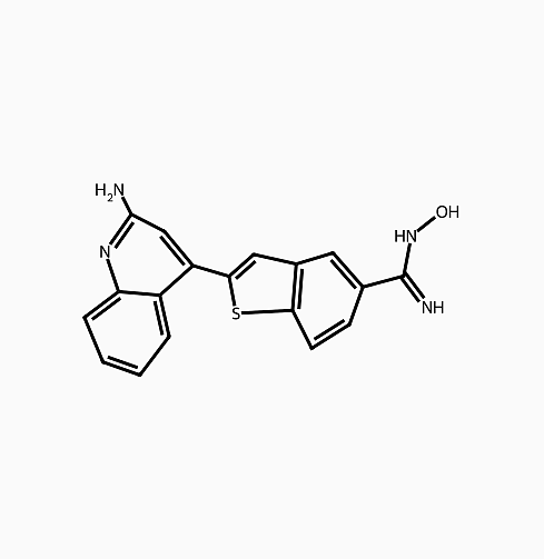 N=C(NO)c1ccc2sc(-c3cc(N)nc4ccccc34)cc2c1